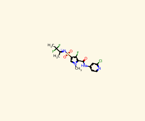 C/C(=N\S(=O)(=O)c1cn(C)c(C(=O)Nc2ccnc(Cl)c2)c1F)C(C)(F)F